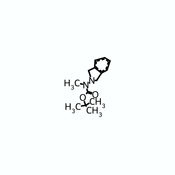 CN(C(=O)OC(C)(C)C)N1Cc2ccccc2C1